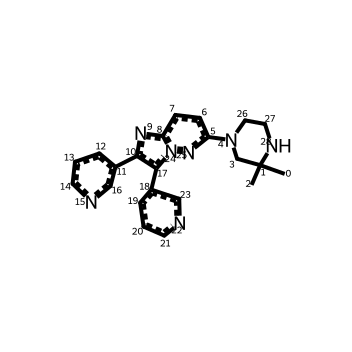 CC1(C)CN(c2ccc3nc(-c4cccnc4)c(-c4cccnc4)n3n2)CCN1